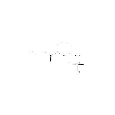 CCOC(=O)C1CCCC(OS(C)(=O)=O)C1